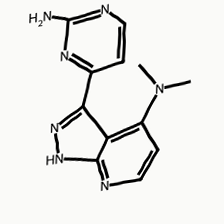 CN(C)c1ccnc2[nH]nc(-c3ccnc(N)n3)c12